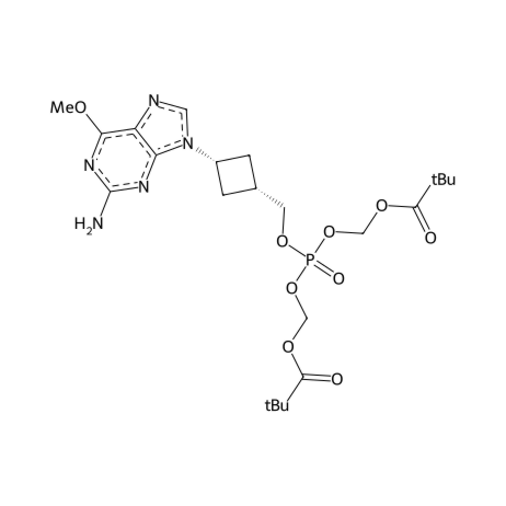 COc1nc(N)nc2c1ncn2[C@H]1C[C@@H](COP(=O)(OCOC(=O)C(C)(C)C)OCOC(=O)C(C)(C)C)C1